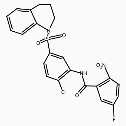 O=C(Nc1cc(S(=O)(=O)N2CCCc3ccccc32)ccc1Cl)c1cc(F)ccc1[N+](=O)[O-]